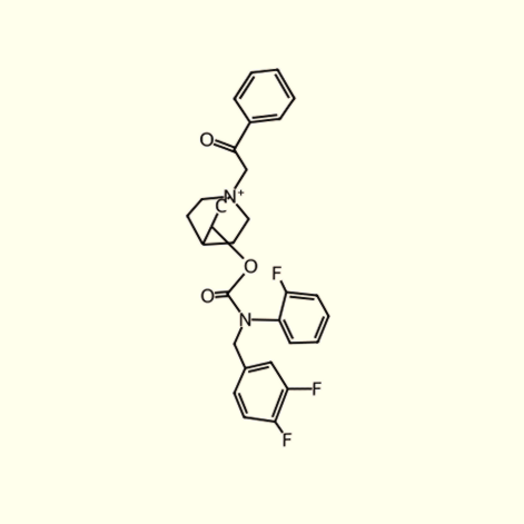 O=C(C[N+]12CCC(CC1)C(OC(=O)N(Cc1ccc(F)c(F)c1)c1ccccc1F)C2)c1ccccc1